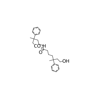 CC(CCO)(CCCC(=O)CCCC(C)(CC(=O)O)c1ccccc1)c1ccccc1